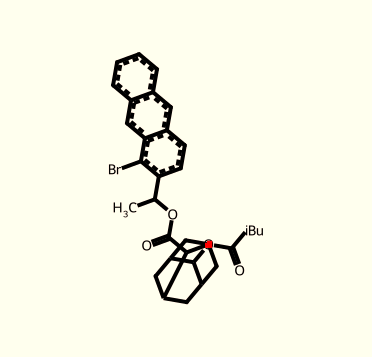 CCC(C)C(=O)OC1C2CC3CC1CC(C2)C3C(=O)OC(C)c1ccc2cc3ccccc3cc2c1Br